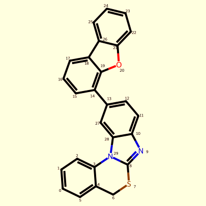 c1ccc2c(c1)CSc1nc3ccc(-c4cccc5c4oc4ccccc45)cc3n1-2